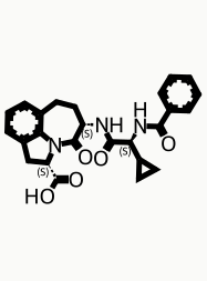 O=C(N[C@H](C(=O)N[C@H]1CCc2cccc3c2N(C1=O)[C@H](C(=O)O)C3)C1CC1)c1ccccc1